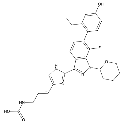 CCc1cc(O)ccc1-c1ccc2c(-c3nc(C=CCNC(=O)O)c[nH]3)nn(C3CCCCO3)c2c1F